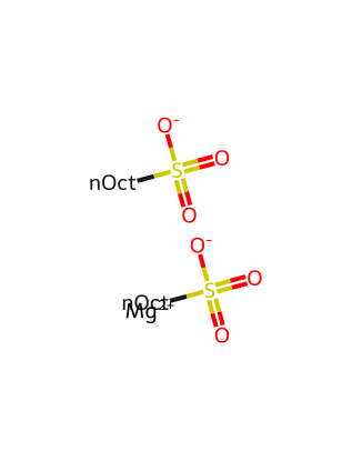 CCCCCCCCS(=O)(=O)[O-].CCCCCCCCS(=O)(=O)[O-].[Mg+2]